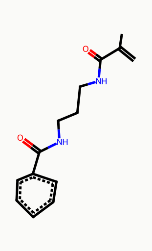 C=C(C)C(=O)NCCCNC(=O)c1ccccc1